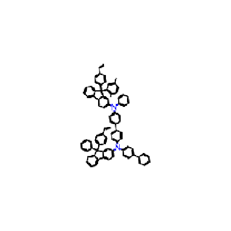 C=Cc1ccc(C2(c3ccccc3)c3ccccc3-c3ccc(N(c4ccc(-c5ccccc5)cc4)c4ccc(-c5ccc(N(c6ccccc6)c6ccc7c(c6)C(c6ccc(C=C)cc6)(c6cc(C)ccc6C)c6ccccc6-7)cc5)cc4)cc32)cc1